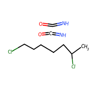 CC(Cl)CCCCCCl.N=C=O.N=C=O